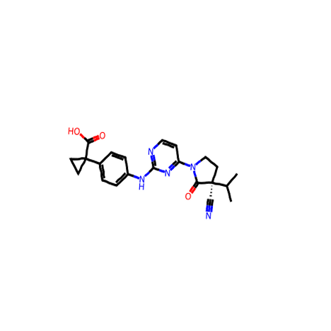 CC(C)[C@]1(C#N)CCN(c2ccnc(Nc3ccc(C4(C(=O)O)CC4)cc3)n2)C1=O